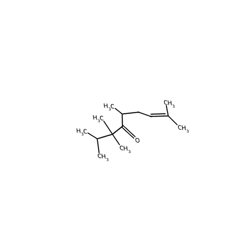 CC(C)=CCC(C)C(=O)C(C)(C)C(C)C